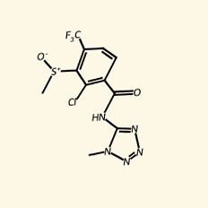 Cn1nnnc1NC(=O)c1ccc(C(F)(F)F)c([S+](C)[O-])c1Cl